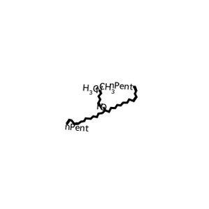 CCCCC/C=C\C/C=C\CCCCCCCCC(CCCCCCCC/C=C\C/C=C\CCCCC)O/N=C\CCCN(C)C